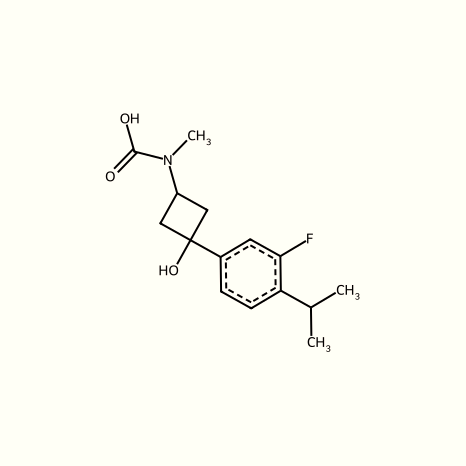 CC(C)c1ccc(C2(O)CC(N(C)C(=O)O)C2)cc1F